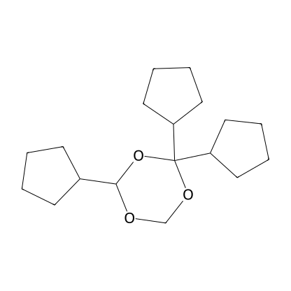 C1CCC(C2OCOC(C3CCCC3)(C3CCCC3)O2)C1